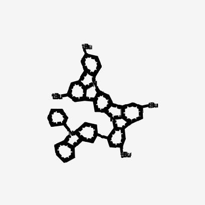 CC(C)(C)c1ccc2c(c1)c1cc(C(C)(C)C)cc3c4cc5c(cc4n2c13)c1cc(C(C)(C)C)cc2c3cc(C(C)(C)C)cc(-c4ccc6c(c4)c4ccccc4n6-c4ccccc4)c3n5c12